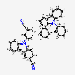 N#CC1=CC(c2ccc(-c3ccccc3-n3c4ccccc4c4ccccc43)cc2)CC(n2c3ccccc3c3cc(C#N)ccc32)=C1